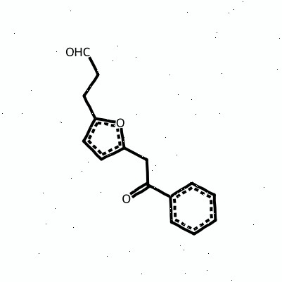 O=CCCc1ccc(CC(=O)c2ccccc2)o1